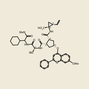 C=C[C@@H]1C[C@]1(NC(=O)[C@@H]1C[C@H](Oc2cc(-c3ccccc3)nc3cc(OC)ccc23)C[C@@H]1C(=O)N[C@H](C(=O)NC(C(=O)NC)C1CCCCC1)C(C)(C)C)C(=O)O